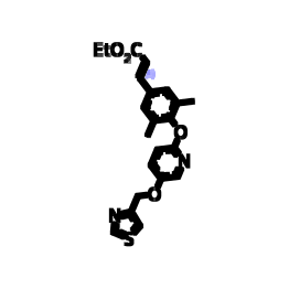 CCOC(=O)/C=C/c1cc(C)c(Oc2ccc(OCc3cscn3)cn2)c(C)c1